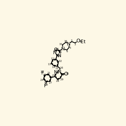 CCOCCN1CCN(c2nc(-c3cccc(Cn4nc(-c5cc(F)cc(F)c5)ccc4=O)c3)no2)CC1